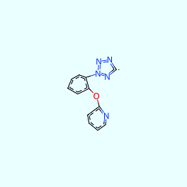 [c]1nnn(-c2ccccc2Oc2ccccn2)n1